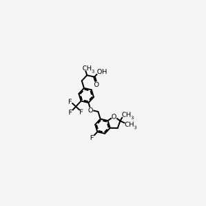 CC(Cc1ccc(OCc2cc(F)cc3c2OC(C)(C)C3)c(C(F)(F)F)c1)C(=O)O